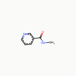 O=C(N[SiH3])c1cccnc1